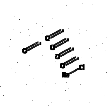 [C]=O.[C]=O.[C]=O.[C]=O.[C]=O.[Cl][Re]